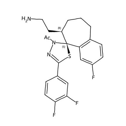 CC(=O)N1N=C(c2ccc(F)c(F)c2)S[C@@]12c1cc(F)ccc1CCC[C@@H]2CCN